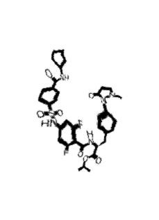 CC(C)OC(=O)[C@H](Cc1ccc(-n2c(=O)ccn2C)cc1)NC(=O)c1c(F)cc(NS(=O)(=O)c2ccc(C(=O)NC3CCCC3)cc2)cc1F